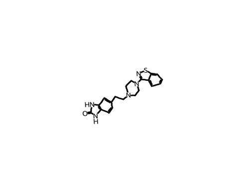 O=c1[nH]c2ccc(CCN3CCN(c4nsc5ccccc45)CC3)cc2[nH]1